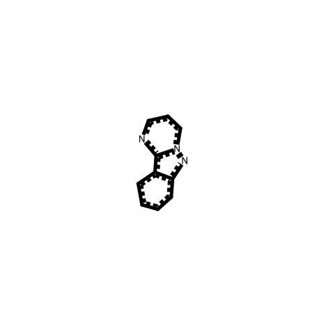 c1ccc2c(c1)nn1cccnc21